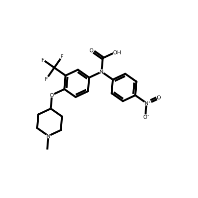 CN1CCC(Oc2ccc(N(C(=O)O)c3ccc([N+](=O)[O-])cc3)cc2C(F)(F)F)CC1